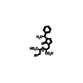 CC(C)C[C@H](N[C@@H](Cn1ccn([C@@H](C)c2ccccc2)c1=O)C(=O)O)C(=O)O